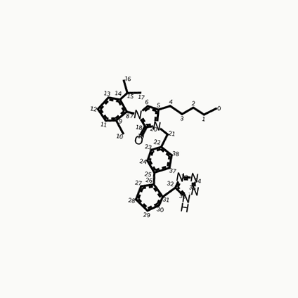 CCCCCc1cn(-c2c(C)cccc2C(C)C)c(=O)n1Cc1ccc(-c2ccccc2-c2nnn[nH]2)cc1